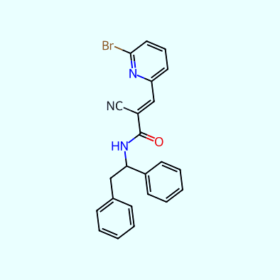 N#C/C(=C\c1cccc(Br)n1)C(=O)NC(Cc1ccccc1)c1ccccc1